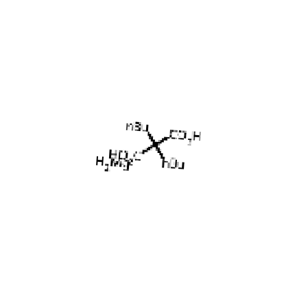 CCCCC(CCCC)(C(=O)O)C(=O)O.[MgH2]